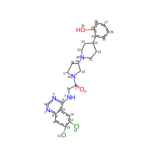 O=C(CNc1ncnc2cc(Cl)c(Cl)cc12)N1CCC(N2CCC(c3ccccc3O)CC2)C1